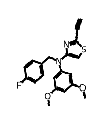 C#Cc1nc(N(Cc2ccc(F)cc2)c2cc(OC)cc(OC)c2)cs1